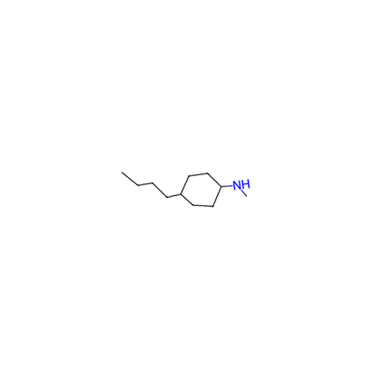 CCCCC1CCC(NC)CC1